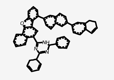 C1=CCC(C2=NC(c3ccccc3)NC(c3cc4c(oc5cccc(-c6ccc7cc(-c8ccc9c(c8)CCC=C9)ccc7c6)c54)c4ccccc34)=N2)C=C1